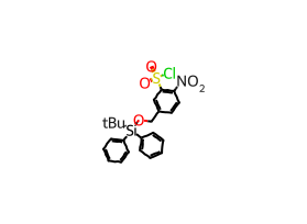 CC(C)(C)[Si](OCc1ccc([N+](=O)[O-])c(S(=O)(=O)Cl)c1)(c1ccccc1)c1ccccc1